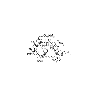 CSCC[C@H](NC(=O)[C@H](CC(C)C)NC(=O)CNC(=O)C(Cc1ccccc1)NC(=O)[C@H](Cc1ccccc1)NC(=O)[C@H](CCC(N)=O)NC(=O)[C@H](CCC(N)=O)NC(=O)[C@@H]1CCCN1C(=O)[C@H](CCCCN)NC(=O)[C@@H]1CCCN1C(=O)[C@@H](N)CCCN=C(N)N)C(N)=O